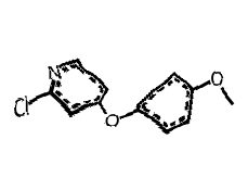 COc1ccc(Oc2ccnc(Cl)c2)cc1